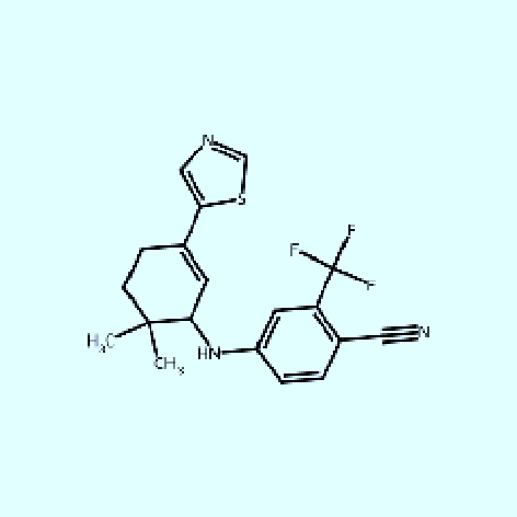 CC1(C)CCC(c2cncs2)=CC1Nc1ccc(C#N)c(C(F)(F)F)c1